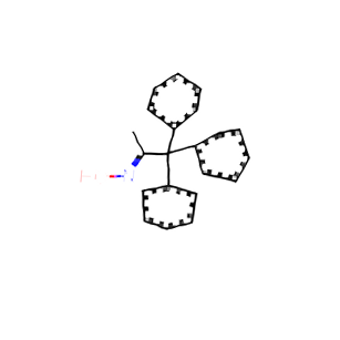 CC(=NO)C(c1ccccc1)(c1ccccc1)c1ccccc1